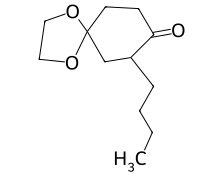 CCCCC1CC2(CCC1=O)OCCO2